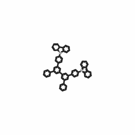 C1=CC2c3ccccc3N(c3ccc(-c4cc(-c5ccccc5)cc(-c5cc(-c6ccccc6)cc(-c6ccc(-n7c8ccccc8c8ccccc87)cc6)c5)c4)cc3)C2C=C1